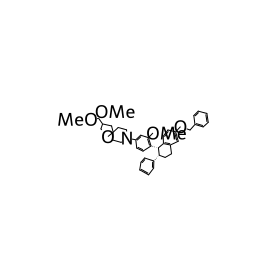 COc1cc(N2CCC3(CC2)CC(C(OC)OC)CO3)ccc1[C@@H]1c2ccc(OCc3ccccc3)cc2CC[C@@H]1c1ccccc1